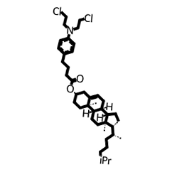 CC(C)CCC[C@@H](C)[C@H]1CC[C@H]2[C@@H]3CC=C4C[C@@H](OC(=O)CCCc5ccc(N(CCCl)CCCl)cc5)CC[C@]4(C)[C@H]3CC[C@]12C